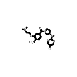 CN(C)CCOc1cc(C(=O)N2CC[C@@H](Nc3ncc(Cl)cn3)C2)ccc1[N+](=O)[O-]